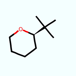 CC(C)(C)[C@H]1CCCCO1